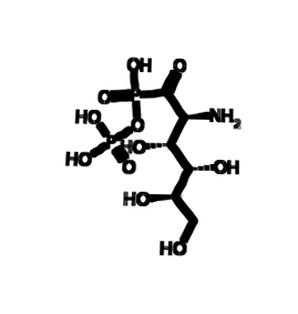 N[C@H](C(=O)P(=O)(O)OP(=O)(O)O)[C@@H](O)[C@H](O)[C@H](O)CO